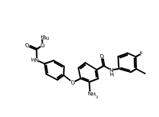 Cc1cc(NC(=O)c2ccc(Oc3ccc(NC(=O)OC(C)(C)C)cc3)c(N)c2)ccc1F